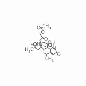 CC(=O)OCC(=O)C[C@@]1(C)C[C@H](O)[C@@]2(Br)C(C[C@H](C)C3=CC(=O)C=C[C@@]32C)C1C[C@H](C)O